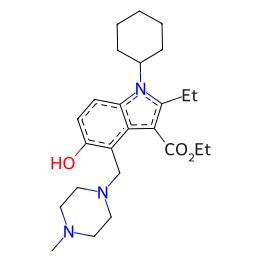 CCOC(=O)c1c(CC)n(C2CCCCC2)c2ccc(O)c(CN3CCN(C)CC3)c12